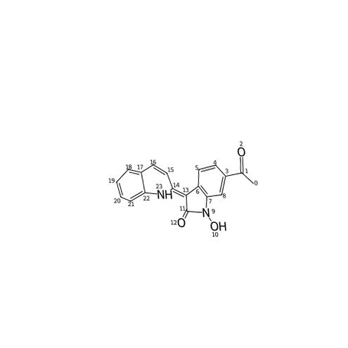 CC(=O)c1ccc2c(c1)N(O)C(=O)C2=C1C=Cc2ccccc2N1